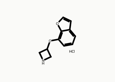 Cl.c1cc(OC2CNC2)c2occc2c1